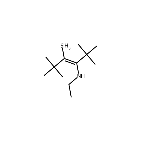 CCNC(=C([SiH3])C(C)(C)C)C(C)(C)C